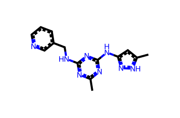 Cc1nc(NCc2cccnc2)nc(Nc2cc(C)[nH]n2)n1